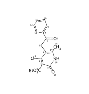 CCOC(=O)c1c(Cl)c(CC(=O)c2ccccc2)c(C)[nH]c1=O